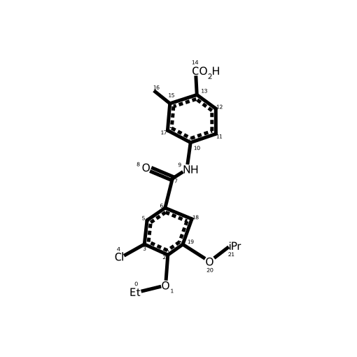 CCOc1c(Cl)cc(C(=O)Nc2ccc(C(=O)O)c(C)c2)cc1OC(C)C